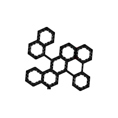 c1ccc(-c2ccccc2-c2c3ccccc3c(-c3cccc4ccccc34)c3c2cnc2ccccc23)cc1